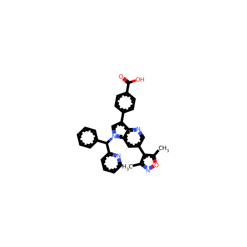 Cc1noc(C)c1-c1cnc2c(-c3ccc(C(=O)O)cc3)cn(C(c3ccccc3)c3ccccn3)c2c1